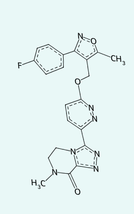 Cc1onc(-c2ccc(F)cc2)c1COc1ccc(-c2nnc3n2CCN(C)C3=O)nn1